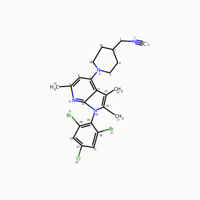 [C-]#[N+]CC1CCN(c2cc(C)nc3c2c(C)c(C)n3-c2c(Br)cc(Cl)cc2Br)CC1